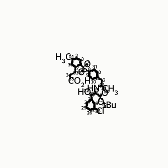 Cc1ccc(S(=O)(=O)c2ccc(C[C@@H](C)NC(C(=O)OC(C)(C)C)[C@H](O)c3cccc(Cl)c3)cc2)c(CCC(=O)O)c1